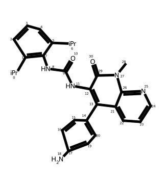 CC(C)c1cccc(C(C)C)c1NC(=O)Nc1c(-c2ccc(N)cc2)c2cccnc2n(C)c1=O